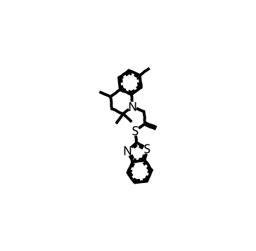 C=C(CN1c2cc(C)ccc2C(C)CC1(C)C)Sc1nc2ccccc2s1